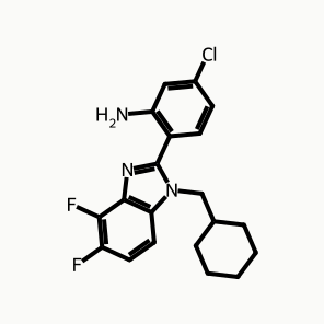 Nc1cc(Cl)ccc1-c1nc2c(F)c(F)ccc2n1CC1CCCCC1